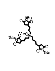 CO[Si](CCCCC1CC(=O)N(C(C)(C)C)C1=O)(CCCC1CC(=O)N(C(C)(C)C)C1=O)CCCC1CC(=O)N(C(C)(C)C)C1=O